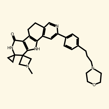 CN1CC2(C1)c1[nH]c3c(c1C(=O)NC21CC1)CCc1cnc(-c2ccc(CCCN4CCOCC4)cc2)cc1-3